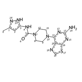 Cc1cc(NC(=O)N2CCN(c3nc(N)nc4scnc34)CC2)[nH]n1